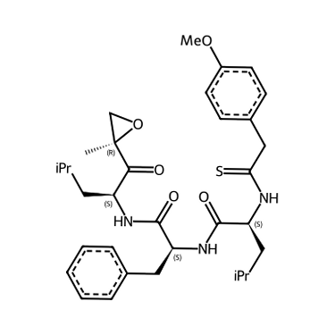 COc1ccc(CC(=S)N[C@@H](CC(C)C)C(=O)N[C@@H](Cc2ccccc2)C(=O)N[C@@H](CC(C)C)C(=O)[C@@]2(C)CO2)cc1